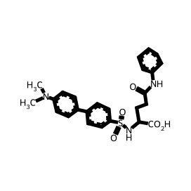 CN(C)c1ccc(-c2ccc(S(=O)(=O)NC(CCC(=O)Nc3ccccc3)C(=O)O)cc2)cc1